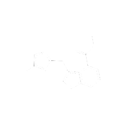 COC(=O)c1cccc2ccn(Cc3nc(C)cs3)c12